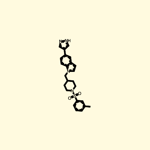 Cc1cccc(S(=O)(=O)N2CCC(Cn3ccc4cc(-c5cn[nH]c5)ccc43)CC2)c1